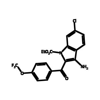 CCOC(=O)n1c(C(=O)c2ccc(OC(F)(F)F)cc2)c(N)c2ccc(Cl)cc21